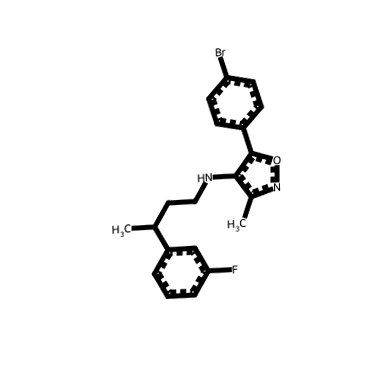 Cc1noc(-c2ccc(Br)cc2)c1NCCC(C)c1cccc(F)c1